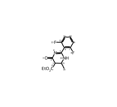 CCOC(=O)C1C(=O)N=C(c2c(F)cccc2F)NC1C